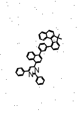 CC1(C)c2cccc(-c3cccc(-c4ccc(-c5cc(-c6ccccc6)nc(-c6ccccc6)n5)c5ccccc45)c3)c2-c2c1ccc1ccccc21